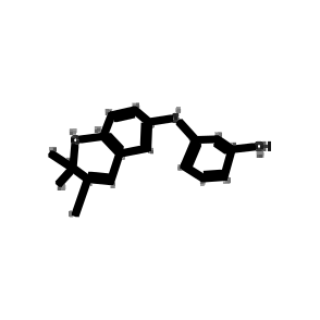 CC1=Cc2cc(Sc3cccc(O)c3)ccc2OC1(C)C